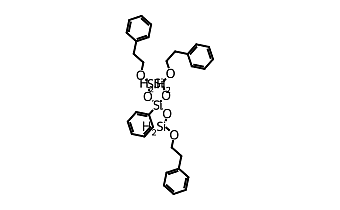 c1ccc(CCO[SiH2]O[Si](O[SiH2]OCCc2ccccc2)(O[SiH2]OCCc2ccccc2)c2ccccc2)cc1